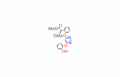 CO/C=C(/C(=O)OC)c1ccccc1Oc1cc(Oc2ccccc2O)ncn1